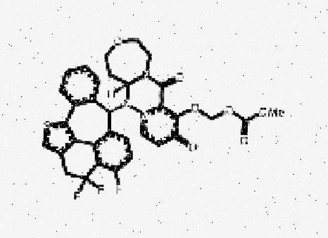 COC(=O)OCOc1c2n(ccc1=O)N([C@@H]1c3ccccc3-c3scc4c3-c3c1ccc(F)c3C(F)(F)C4)[C@@H]1CCOCCN1C2=O